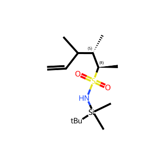 C=CC(C)[C@H](C)[C@@H](C)S(=O)(=O)N[Si](C)(C)C(C)(C)C